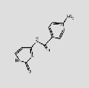 O=C(Nc1cc[nH]c(=O)n1)c1ccc([N+](=O)[O-])cc1